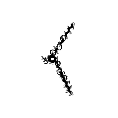 CCCCCCOCCOCCOc1cc(OCCOCCOCCCCCC)cc(SC)c1